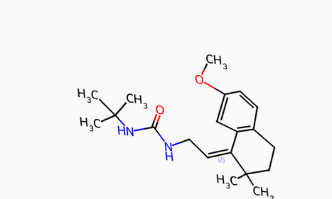 COc1ccc2c(c1)/C(=C\CNC(=O)NC(C)(C)C)C(C)(C)CC2